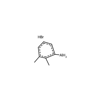 Br.Cc1ccc[c]([AlH2])c1C